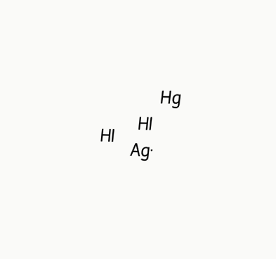 I.I.[Ag].[Hg]